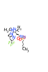 CCCCCS(=O)(=O)NC(=O)C=Cc1c(C)nn(C)c1-n1ccc2cc(C(F)(F)F)cnc21